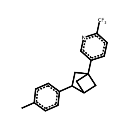 Cc1ccc(C2CC3(c4ccc(C(F)(F)F)nc4)CC2C3)cc1